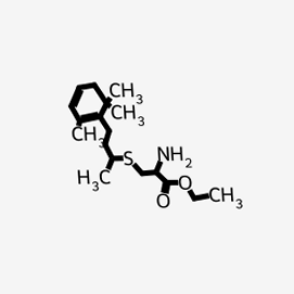 CCOC(=O)C(N)CSC(C)CCC1=C(C)C=CCC1(C)C